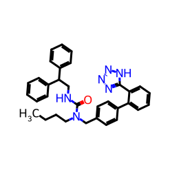 CCCCN(Cc1ccc(-c2ccccc2-c2nnn[nH]2)cc1)C(=O)NCC(c1ccccc1)c1ccccc1